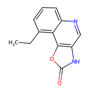 CCc1cccc2ncc3[nH]c(=O)oc3c12